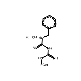 CCCCCCCCNC(=N)NC(=N)NCc1ccccc1.Cl.Cl